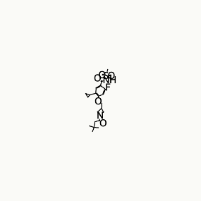 CC(C)(C)CC(=O)N1CC(COc2cc(F)c(C(=O)NS(C)(=O)=O)cc2C2CC2)C1